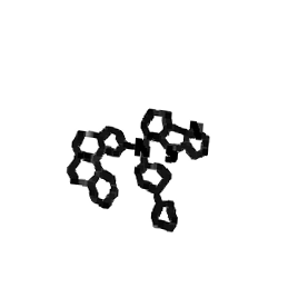 c1ccc(-c2ccc(N(c3ccc4ccc5ccc6ccccc6c5c4c3)c3cccc4c3sc3cccnc34)cc2)cc1